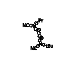 CC(C)c1ccc(N(c2ccc(C#N)cc2)c2ccc3c(c2)oc2cc4cc5oc6cc(N(c7ccc(C#N)cc7)c7ccc(C(C)(C)C)cc7)ccc6c5cc4cc23)cc1